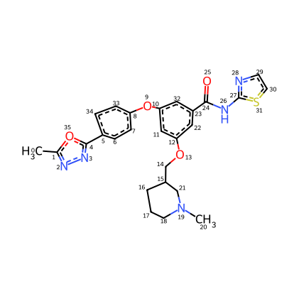 Cc1nnc(-c2ccc(Oc3cc(OCC4CCCN(C)C4)cc(C(=O)Nc4nccs4)c3)cc2)o1